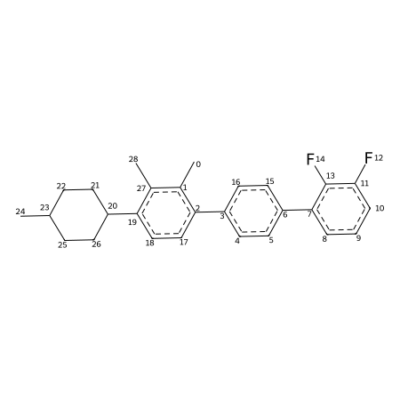 Cc1c(-c2ccc(-c3cccc(F)c3F)cc2)ccc(C2CCC(C)CC2)c1C